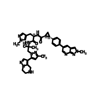 Cn1cc(C[C@@H](NC(=O)[C@H]2C[C@@H]2c2ccc(-c3cnc4nn(C)cc4c3)cc2)C(=O)NC(C)(C)Cn2nc(C(F)(F)F)cc2-c2cnn3c2CNCC3)cn1